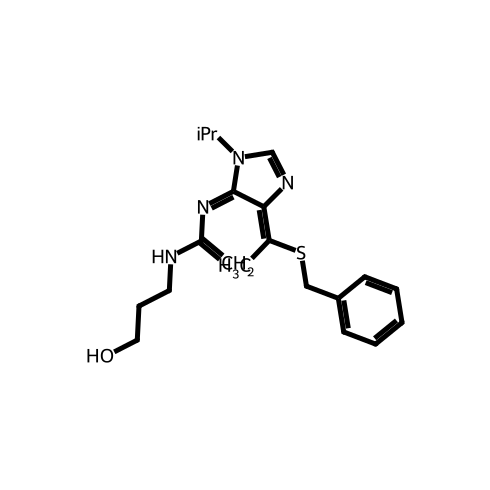 C=C(/N=C1\C(=C(/C)SCc2ccccc2)N=CN1C(C)C)NCCCO